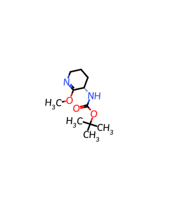 COC1=NCCC[C@@H]1NC(=O)OC(C)(C)C